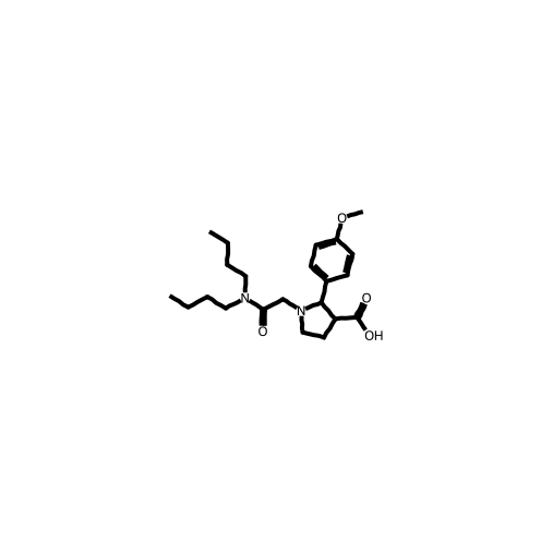 CCCCN(CCCC)C(=O)CN1CCC(C(=O)O)C1c1ccc(OC)cc1